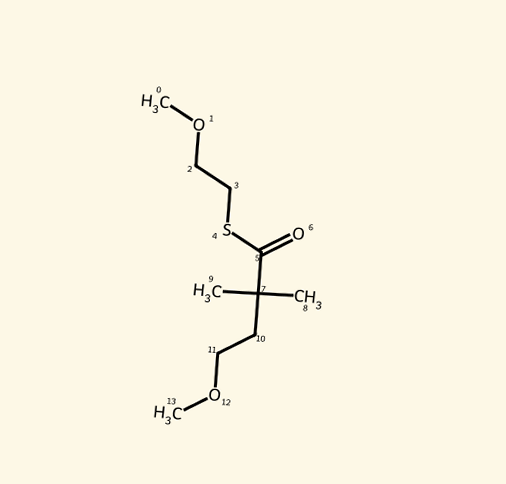 COCCSC(=O)C(C)(C)CCOC